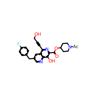 CC(=O)N1CCC(OC(=O)c2nc(C#CCO)c3cc(Cc4ccc(F)cc4)cnc3c2O)CC1